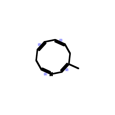 C/C1=C/N=C\C/C=C\C=C/C1